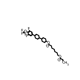 C=CC(=O)OCCCCCCC(=O)OC1CCC(C2CCC(c3cc(F)c(OC(F)(F)F)c(F)c3)CC2)CC1